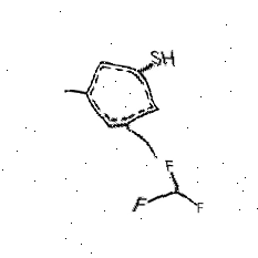 Cc1cc(C)cc(S)c1.FC(F)F